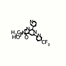 C[C@@H](CO)n1cnc2c(-c3cccnc3)nc(-c3ccc(C(F)(F)F)cn3)cc2c1=O